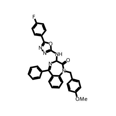 COc1ccc(CN2C(=O)C(Nc3nnc(-c4ccc(F)cc4)o3)N=C(c3ccccc3)c3ccccc32)cc1